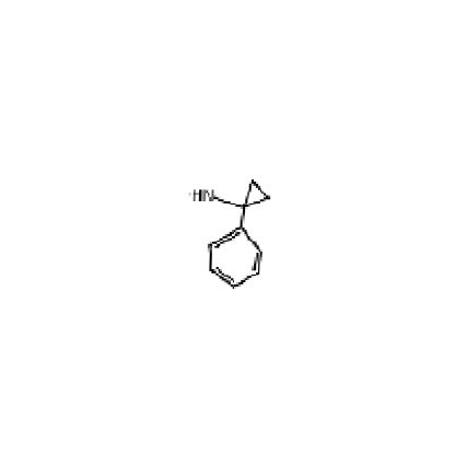 [NH]C1(c2ccccc2)CC1